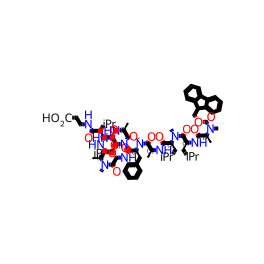 CC(C)C[C@H](NC(=O)[C@H](C)N(C)C(=O)CNC(=O)[C@H](Cc1ccccc1)N(C)C(=O)[C@H](C)NC(=O)[C@H](CC(C)C)N(C)C(=O)[C@H](CC(C)C)NC(=O)[C@H](C)N(C)C(=O)OCC1c2ccccc2-c2ccccc21)C(=O)N[C@@H](C)C(=O)N(C)[C@@H](CC(C)C)C(=O)NCC(=O)NCCC(=O)O